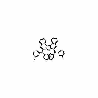 Cc1cccc(N(C2=Cc3ccccc3C3C2OC2C(N(c4ccccc4)c4cccc(C)c4)=Cc4ccccc4C23)c2ccccc2)c1